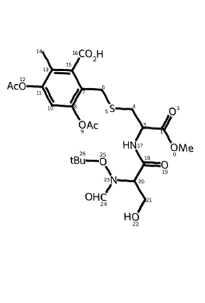 COC(=O)C(CSCc1c(OC(C)=O)cc(OC(C)=O)c(C)c1C(=O)O)NC(=O)C(CO)N(C=O)OC(C)(C)C